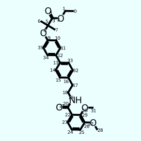 CCOC(=O)C(C)(C)Oc1ccc(-c2ccc(CCNC(=O)c3cccc(OC)c3OC)cc2)cc1